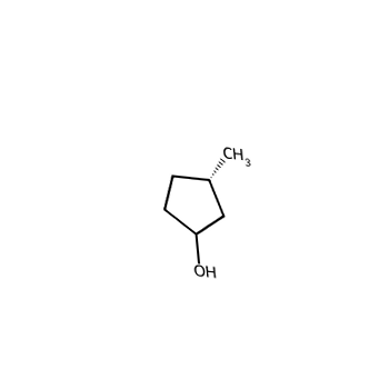 C[C@H]1CCC(O)C1